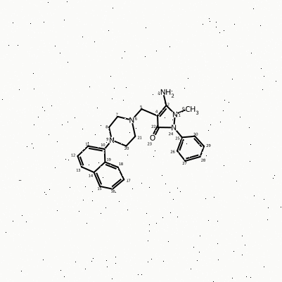 Cn1c(N)c(CN2CCN(c3cccc4ccccc34)CC2)c(=O)n1-c1ccccc1